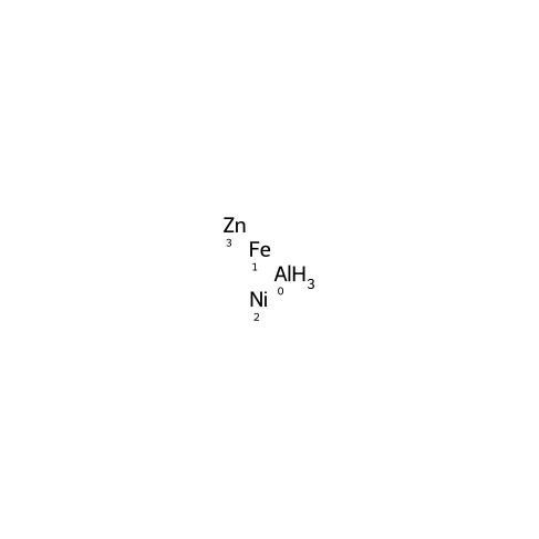 [AlH3].[Fe].[Ni].[Zn]